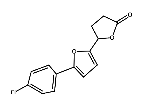 O=C1CCC(c2ccc(-c3ccc(Cl)cc3)o2)O1